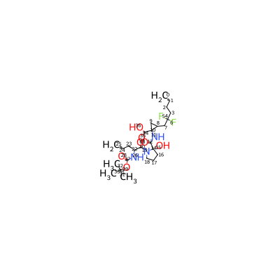 C=CCCC(F)(F)CC1CC1(NC(=O)[C@@]1(O)CCCN1C(=O)[C@H](CC=C)NC(=O)OC(C)(C)C)C(=O)O